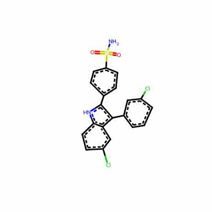 NS(=O)(=O)c1ccc(-c2[nH]c3ccc(Cl)cc3c2-c2cccc(Cl)c2)cc1